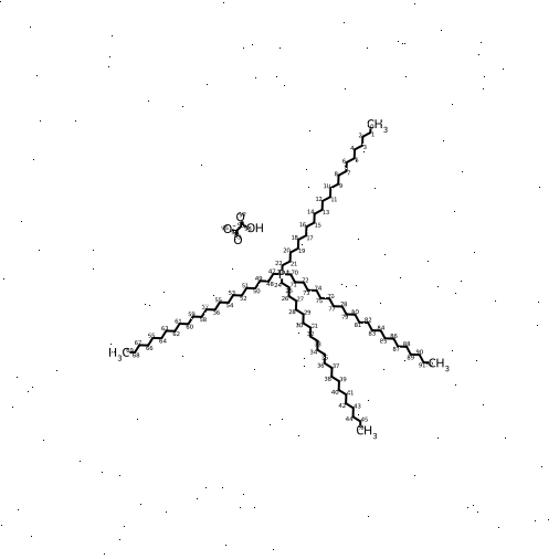 CCCCCCCCCCCCCCCCCCCCCCC[P+](CCCCCCCCCCCCCCCCCCCCCCC)(CCCCCCCCCCCCCCCCCCCCCCC)CCCCCCCCCCCCCCCCCCCCCCC.O=C([O-])C(=O)O